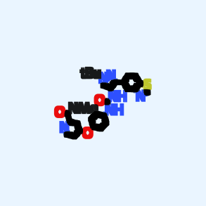 CNC(=O)c1cc(Oc2ccc(NC(=O)Nc3cn(C(C)(C)C)nc3-c3ccc4scnc4c3)cc2)ccn1